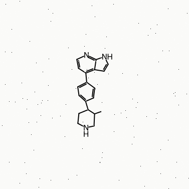 CC1CNCCC1c1ccc(-c2ccnc3[nH]ccc23)cc1